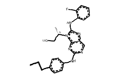 CCCc1ccc(Nc2ncc3nc(Nc4ccccc4F)n([C@@H](C)CO)c3n2)cc1